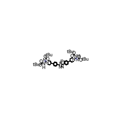 CC(C)n1c(-c2ccc(C3=CCN(/C(=N\C(=O)OC(C)(C)C)NC(=O)OC(C)(C)C)CC3)cc2)nnc1-c1ccc(C2=CCN(/C(=N/C(=O)OC(C)(C)C)NC(=O)OC(C)(C)C)CC2)cc1